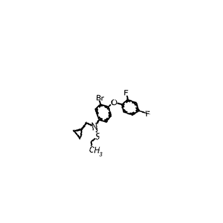 CCSN(CC1CC1)c1ccc(Oc2ccc(F)cc2F)c(Br)c1